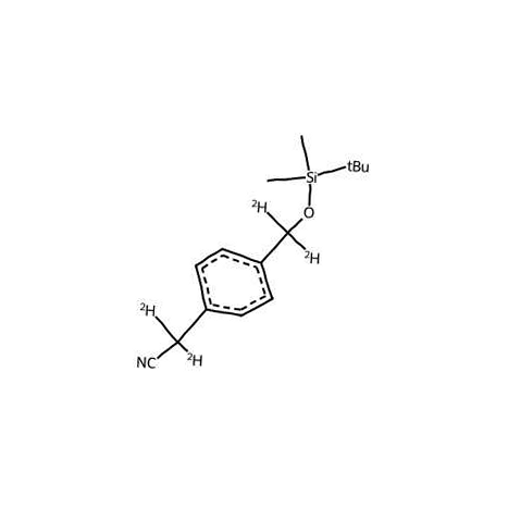 [2H]C([2H])(C#N)c1ccc(C([2H])([2H])O[Si](C)(C)C(C)(C)C)cc1